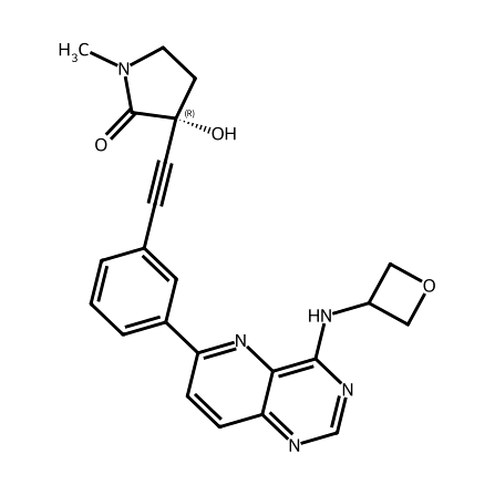 CN1CC[C@@](O)(C#Cc2cccc(-c3ccc4ncnc(NC5COC5)c4n3)c2)C1=O